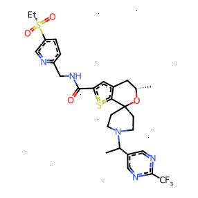 CCS(=O)(=O)c1ccc(CNC(=O)c2cc3c(s2)C2(CCN(C(C)c4cnc(C(F)(F)F)nc4)CC2)O[C@@H](C)C3)nc1